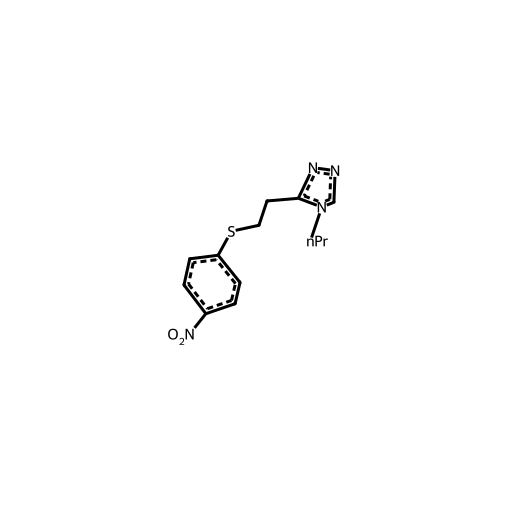 CCCn1cnnc1CCSc1ccc([N+](=O)[O-])cc1